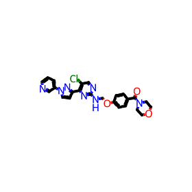 O=C(c1ccc(OCNc2ncc(Cl)c(-c3ccn(-c4cccnc4)n3)n2)cc1)N1CCOCC1